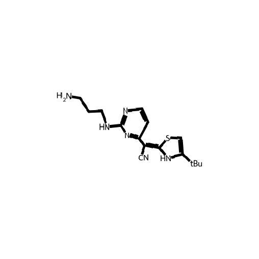 CC(C)(C)C1=CSC(=C(C#N)c2ccnc(NCCCN)n2)N1